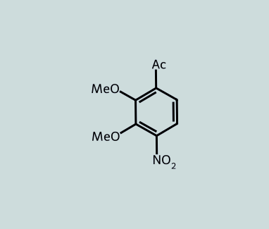 COc1c(C(C)=O)ccc([N+](=O)[O-])c1OC